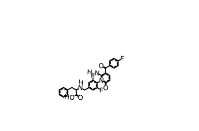 Nc1c(C(=O)c2ccc(F)cc2)ccc(=O)n1-c1c(F)cc(CNC(Cc2ccccc2)C(=O)O)cc1F